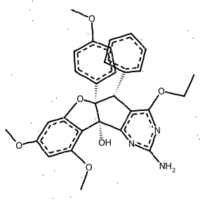 CCOc1nc(N)nc2c1[C@@H](c1ccccc1)[C@]1(c3ccc(OC)cc3)Oc3cc(OC)cc(OC)c3[C@]21O